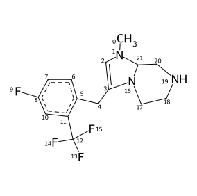 CN1C=C(Cc2ccc(F)cc2C(F)(F)F)N2CCNCC12